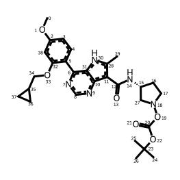 COc1ccc(-c2ncnc3c(C(=O)N[C@@H]4CCN(OC(=O)OC(C)(C)C)C4)c(C)[nH]c23)c(OCC2CC2)c1